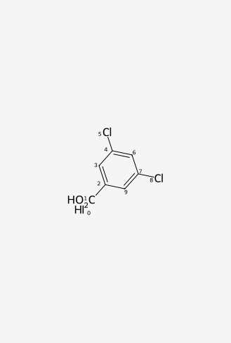 I.O=C(O)c1cc(Cl)cc(Cl)c1